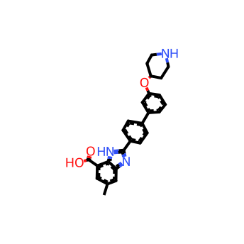 Cc1cc(C(=O)O)c2[nH]c(-c3ccc(-c4cccc(OC5CCNCC5)c4)cc3)nc2c1